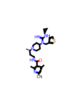 Cc1cc(C#N)nc(C)c1C(=O)NCC[C@@H](C)N1CCC(N(Cc2ccsc2)C(=N)NC2CC2)CC1